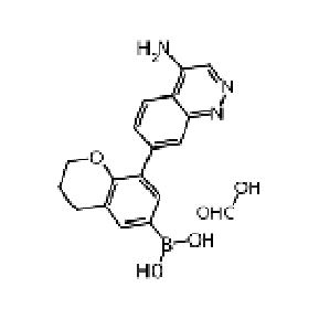 Nc1cnnc2cc(-c3cc(B(O)O)cc4c3OCCC4)ccc12.O=CO